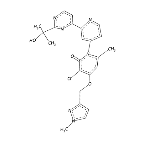 Cc1cc(OCc2ccn(C)n2)c(Cl)c(=O)n1-c1ccnc(-c2ccnc(C(C)(C)O)n2)c1